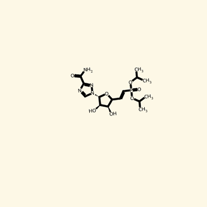 CC(C)OP(=O)(/C=C/C1O[C@@H](n2cnc(C(N)=O)n2)[C@H](O)[C@@H]1O)OC(C)C